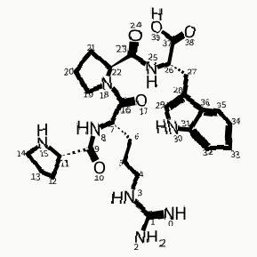 N=C(N)NCCC[C@H](NC(=O)[C@@H]1CCCN1)C(=O)N1CCC[C@H]1C(=O)N[C@@H](Cc1c[nH]c2ccccc12)C(=O)O